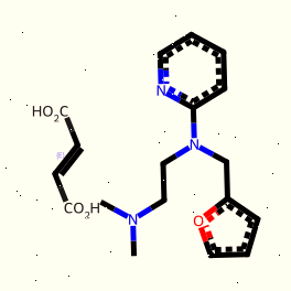 CN(C)CCN(Cc1ccco1)c1ccccn1.O=C(O)/C=C/C(=O)O